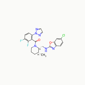 C[C@@H]1CCCN(C(=O)c2c(-n3nccn3)ccc(F)c2F)[C@@H]1CNc1nc2ccc(Cl)cc2o1